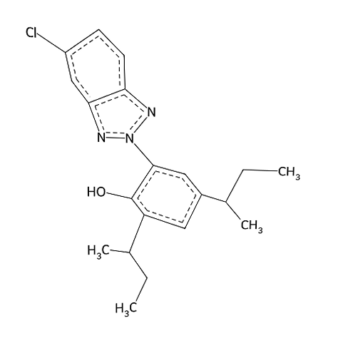 CCC(C)c1cc(C(C)CC)c(O)c(-n2nc3ccc(Cl)cc3n2)c1